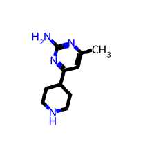 Cc1cc(C2CCNCC2)nc(N)n1